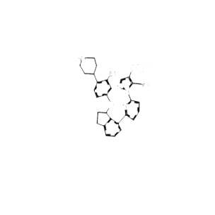 CCc1cc(OC2CCc3cccc(-c4cccc(-n5ncc(C(=O)O)c5C(C)C)n4)c32)ccc1C1CCNCC1